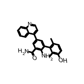 Cc1ccc(O)c(C)c1-c1cc(-c2ccnc3ccccc23)cc(C(N)=O)c1N